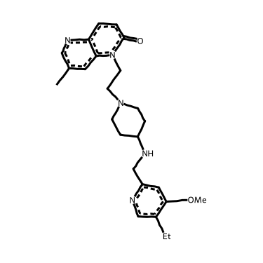 CCc1cnc(CNC2CCN(CCn3c(=O)ccc4ncc(C)cc43)CC2)cc1OC